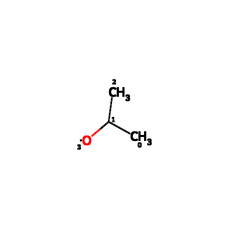 CC(C)[O]